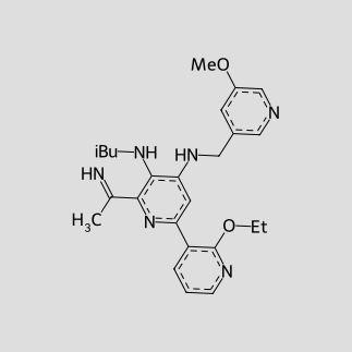 CCOc1ncccc1-c1cc(NCc2cncc(OC)c2)c(NC(C)CC)c(C(C)=N)n1